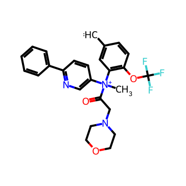 [CH]c1ccc(OC(F)(F)F)c([N+](C)(C(=O)CN2CCOCC2)c2ccc(-c3ccccc3)nc2)c1